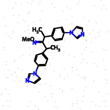 CON=C(C(C)c1ccc(-n2ccnc2)cc1)C(C)c1ccc(-n2ccnc2)cc1